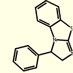 c1ccc(C2CN=C3Sc4ccccc4N32)cc1